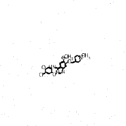 COc1cc2c(NC3=CC(=O)C(Cl)=CC3=O)ncnc2cc1OCC1CCN(C)CC1